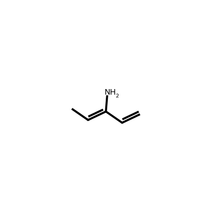 C=CC(N)=CC